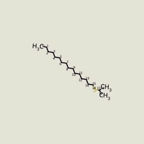 CCCCCCCCCCCCCCCCSC(C)C